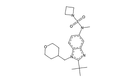 CN(c1ccc2c(c1)nc(C(C)(C)C)n2CC1CCOCC1)S(=O)(=O)N1CCC1